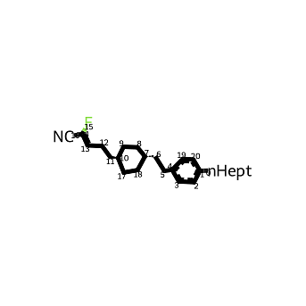 CCCCCCCc1ccc(CC[C@H]2CC[C@H](CCC=C(F)C#N)CC2)cc1